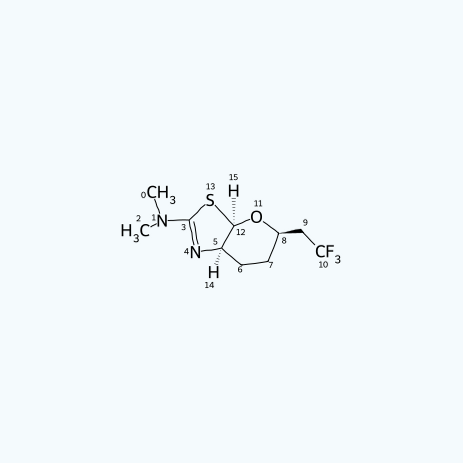 CN(C)C1=N[C@@H]2CC[C@H](CC(F)(F)F)O[C@@H]2S1